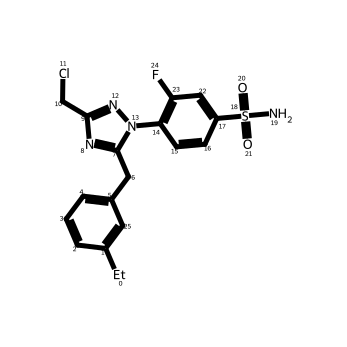 CCc1cccc(Cc2nc(CCl)nn2-c2ccc(S(N)(=O)=O)cc2F)c1